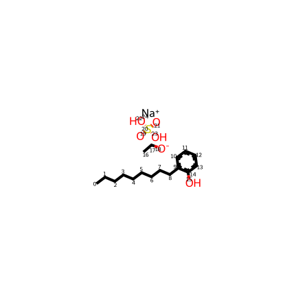 CCCCCCCCCc1ccccc1O.CC[O-].O=S(=O)(O)O.[Na+]